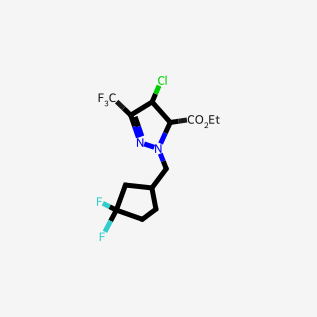 CCOC(=O)C1C(Cl)C(C(F)(F)F)=NN1CC1CCC(F)(F)C1